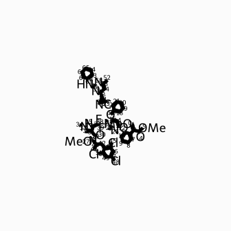 CO/C=C(/C(=O)OC)c1ccccc1Oc1cc(Oc2ccccc2C#N)ncn1.CON(C(=O)c1cn(C)nc1C(F)F)C(C)Cc1c(Cl)cc(Cl)cc1Cl.Cc1cc(C2CC2)nc(Nc2ccccc2)n1